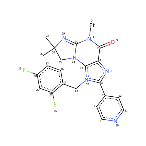 CCN1C(=O)c2nc(-c3ccncc3)n(Cc3ccc(F)cc3F)c2N2CC(C)(C)N=C12